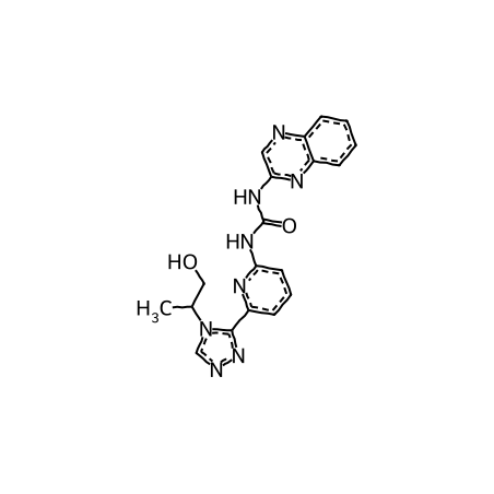 CC(CO)n1cnnc1-c1cccc(NC(=O)Nc2cnc3ccccc3n2)n1